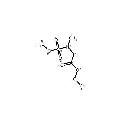 COOC(=O)CN(C)S(=O)(=O)OC